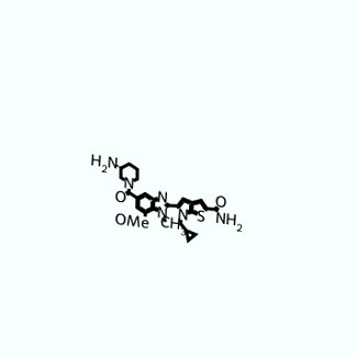 COc1cc(C(=O)N2CCC[C@@H](N)C2)cc2nc(-c3cc4cc(C(N)=O)sc4n3CC3CC3)n(C)c12